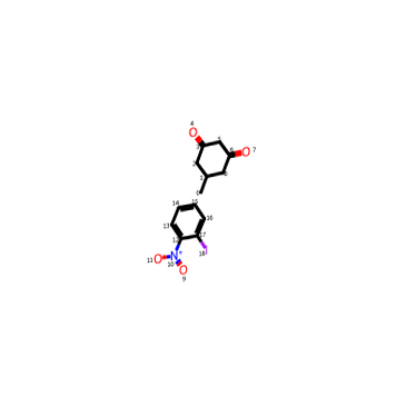 CC1CC(=O)CC(=O)C1.O=[N+]([O-])c1ccccc1I